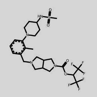 Cc1c(CN2CC3CN(C(=O)OC(C(F)(F)F)C(F)(F)F)CC3C2)cccc1N1CCC(NS(C)(=O)=O)CC1